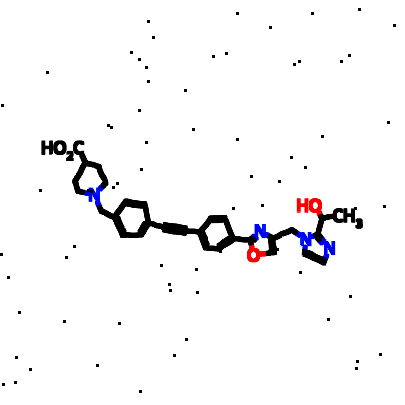 CC(O)c1nccn1Cc1coc(-c2ccc(C#Cc3ccc(CN4CCC(C(=O)O)CC4)cc3)cc2)n1